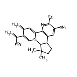 C=C1C=C2c3nc(CC)c(CCC)cc3C3CCC(C)(C)C3N2C=C1C(=C)CCC